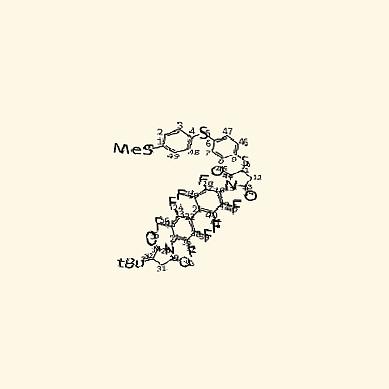 CSc1ccc(Sc2ccc(SC3CC(=O)N(c4c(F)c(F)c(-c5c(F)c(F)c(N6C(=O)CC(C(C)(C)C)C6=O)c(F)c5F)c(F)c4F)C3=O)cc2)cc1